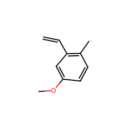 [CH2]c1ccc(OC)cc1C=C